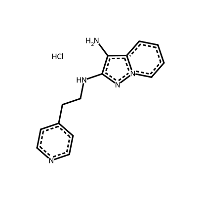 Cl.Nc1c(NCCc2ccncc2)nn2ccccc12